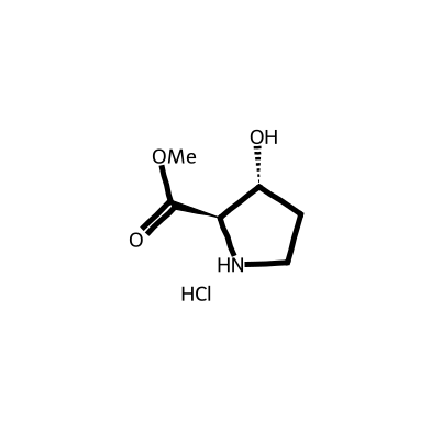 COC(=O)[C@@H]1NCC[C@H]1O.Cl